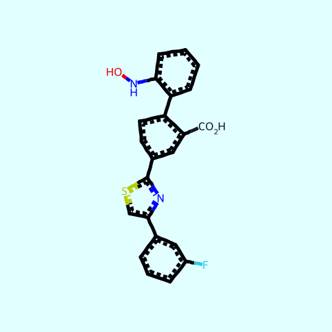 O=C(O)c1cc(-c2nc(-c3cccc(F)c3)cs2)ccc1-c1ccccc1NO